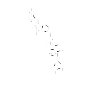 Cc1[nH]cnc1C=C1C(=O)Nc2cc(C=CCNC(=O)c3cncn(Cc4ccc(F)c(F)c4)c3=O)ccc21